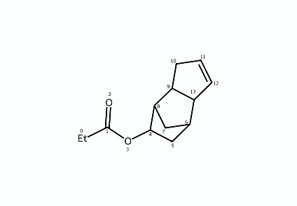 CCC(=O)OC1CC2CC1C1CC=CC21